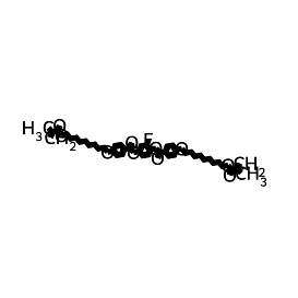 C=C(C)C(=O)OCCCCCCCCCOc1ccc(C(=O)Oc2ccc(OC(=O)c3ccc(OCCCCCCCCCOC(=O)C(=C)C)cc3)c(F)c2)cc1